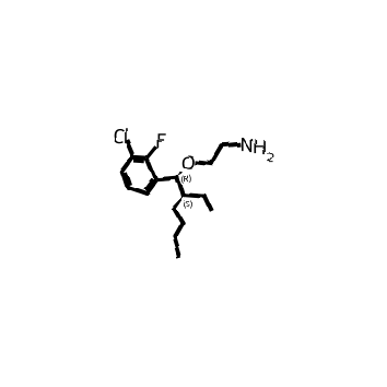 CCCC[C@H](CC)[C@@H](OCCN)c1cccc(Cl)c1F